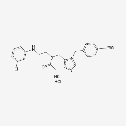 CC(=O)N(CCNc1cccc(Cl)c1)Cc1cncn1Cc1ccc(C#N)cc1.Cl.Cl